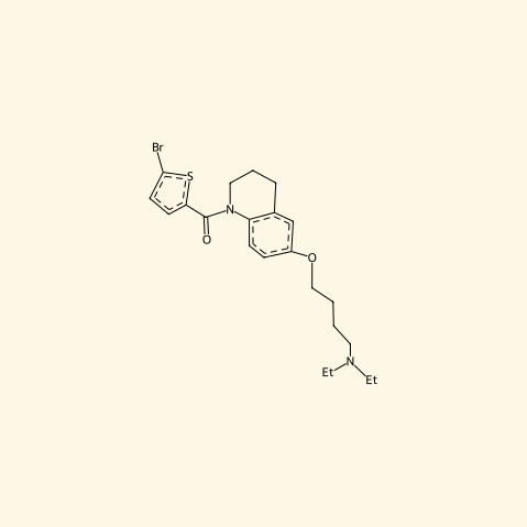 CCN(CC)CCCCOc1ccc2c(c1)CCCN2C(=O)c1ccc(Br)s1